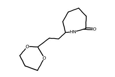 O=C1CCCCC(CCC2OCCCO2)N1